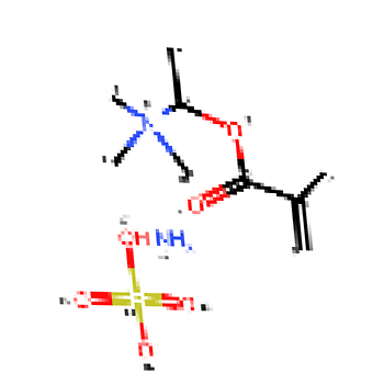 C=C(C)C(=O)OC(C)[N+](C)(C)C.N.O=S(=O)([O-])O